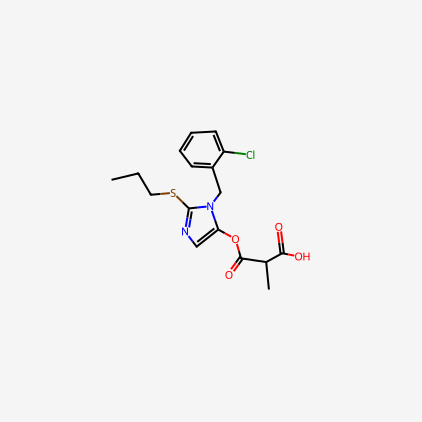 CCCSc1ncc(OC(=O)C(C)C(=O)O)n1Cc1ccccc1Cl